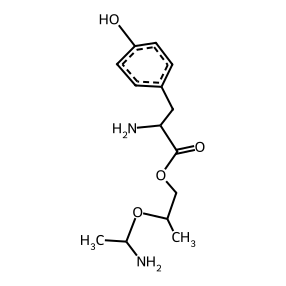 CC(N)OC(C)COC(=O)C(N)Cc1ccc(O)cc1